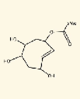 CSC(=O)OC1/C=C/C(O)CC(O)C(O)C1